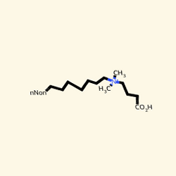 CCCCCCCCCCCCCCCC[N+](C)(C)CCCC(=O)O